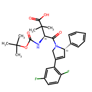 CC(C)(C)OC(=O)N[C@H](C(=O)N1CC(c2cc(F)ccc2F)=C[C@H]1c1ccccc1)C(C)(C)C(=O)O